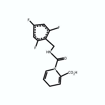 O=C(O)C1=CCC=CN1C(=O)NCc1c(F)cc(F)cc1F